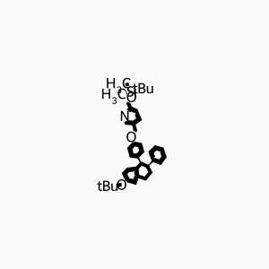 CC(C)(C)Oc1ccc2c(c1)CC[C@H](c1ccccc1)[C@@H]2c1ccc(OCc2ccc(CO[Si](C)(C)C(C)(C)C)nc2)cc1